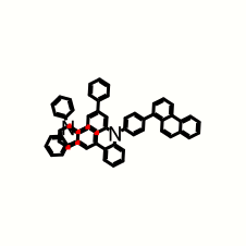 c1ccc(-c2cc(-c3ccccc3)cc(N(c3ccc(-c4cccc5c4ccc4ccccc45)cc3)c3ccccc3-c3ccc4c(c3)c3ccccc3n4-c3ccccc3)c2)cc1